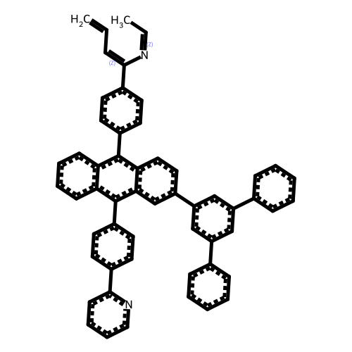 C=C/C=C(\N=C/C)c1ccc(-c2c3ccccc3c(-c3ccc(-c4ccccn4)cc3)c3cc(-c4cc(-c5ccccc5)cc(-c5ccccc5)c4)ccc23)cc1